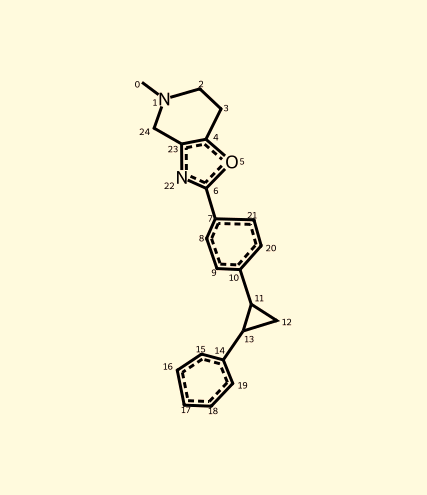 CN1CCc2oc(-c3ccc(C4CC4c4ccccc4)cc3)nc2C1